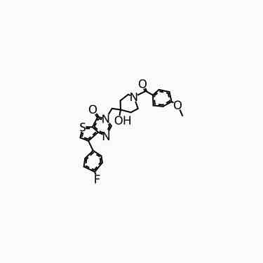 COc1ccc(C(=O)N2CCC(O)(Cn3cnc4c(-c5ccc(F)cc5)csc4c3=O)CC2)cc1